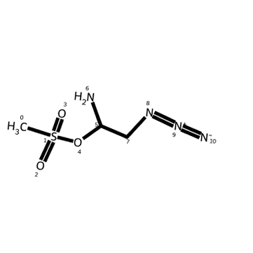 CS(=O)(=O)OC(N)CN=[N+]=[N-]